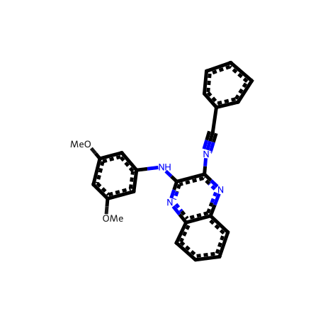 COc1cc(Nc2nc3ccccc3nc2[N+]#Cc2ccccc2)cc(OC)c1